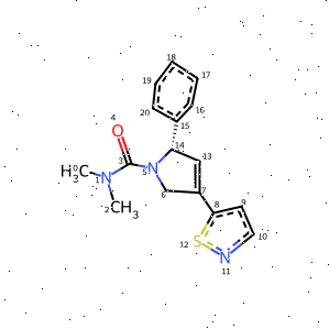 CN(C)C(=O)N1CC(c2ccns2)=C[C@H]1c1ccccc1